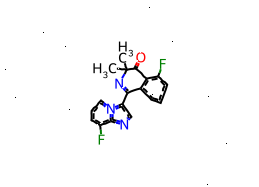 CC1(C)N=C(c2cnc3c(F)cccn23)c2cccc(F)c2C1=O